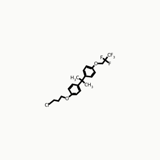 CC(C)(c1ccc(OCCCCl)cc1)c1ccc(OCC(F)(F)C(F)(F)F)cc1